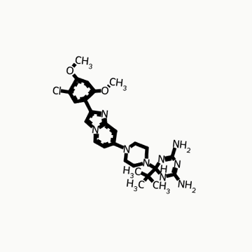 COc1cc(OC)c(-c2cn3ccc(N4CCN(C5(C(C)(C)C)N=C(N)N=C(N)N5)CC4)cc3n2)cc1Cl